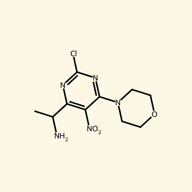 CC(N)c1nc(Cl)nc(N2CCOCC2)c1[N+](=O)[O-]